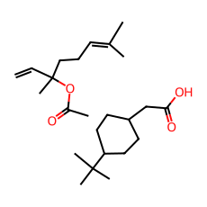 C=CC(C)(CCC=C(C)C)OC(C)=O.CC(C)(C)C1CCC(CC(=O)O)CC1